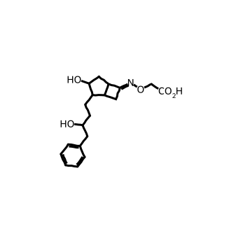 O=C(O)CON=C1CC2C1CC(O)C2CCC(O)Cc1ccccc1